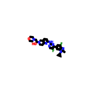 Cc1nc2c(F)cc(-c3nc(Nc4ccc5c(n4)CCN(C(O)CN4CCOCC4)C5)ncc3F)cc2n1C1CC1